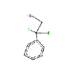 CC(C)(C)CC(F)(F)c1ccccc1